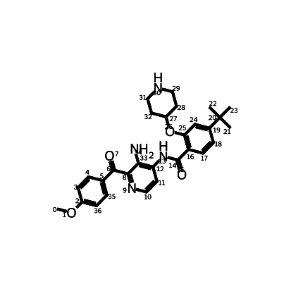 COc1ccc(C(=O)c2nccc(NC(=O)c3ccc(C(C)(C)C)cc3OC3CCNCC3)c2N)cc1